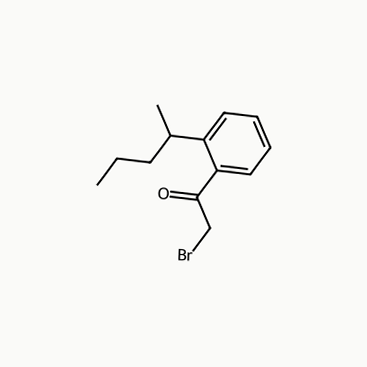 CCCC(C)c1ccccc1C(=O)CBr